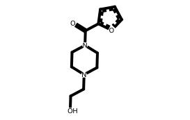 O=C(c1ccco1)N1CCN(CCO)CC1